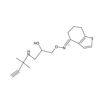 C#CC(C)(C)NCC(O)CO/N=C1\CCCc2sccc21